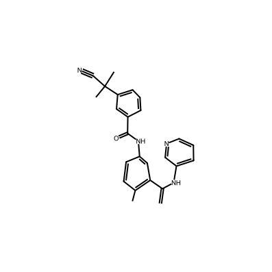 C=C(Nc1cccnc1)c1cc(NC(=O)c2cccc(C(C)(C)C#N)c2)ccc1C